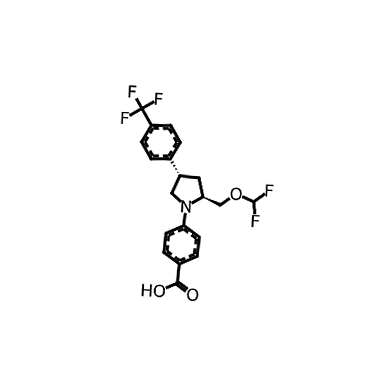 O=C(O)c1ccc(N2C[C@H](c3ccc(C(F)(F)F)cc3)C[C@H]2COC(F)F)cc1